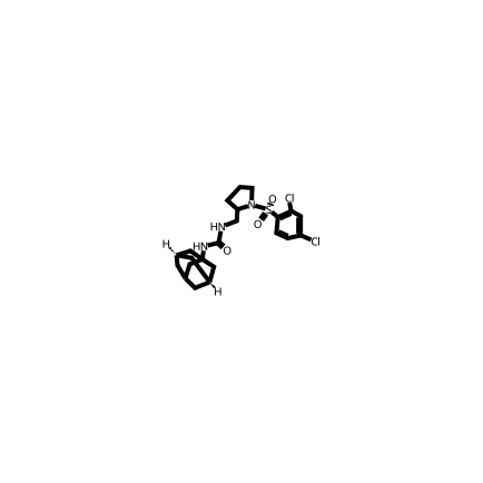 O=C(NCC1CCCN1S(=O)(=O)c1ccc(Cl)cc1Cl)NC12CC3C[C@H](C1)C[C@@H](C3)C2